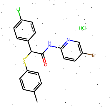 Cc1ccc(SC(C(=O)Nc2ccc(Br)cn2)c2ccc(Cl)cc2)cc1.Cl